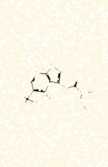 CO[C@H](C)C(=O)Nc1c[nH]c2ncc(C(F)(F)F)c(Cl)c12